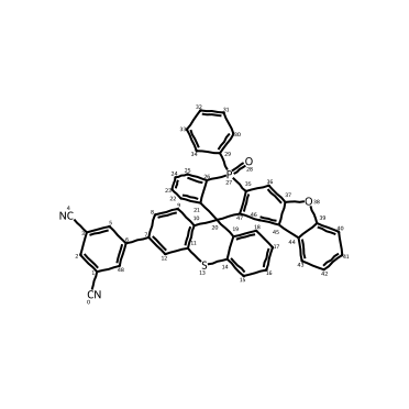 N#Cc1cc(C#N)cc(-c2ccc3c(c2)Sc2ccccc2C32c3ccccc3P(=O)(c3ccccc3)c3cc4oc5ccccc5c4cc32)c1